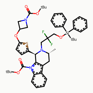 C[C@@H]1Cc2c(n(C(=O)OC(C)(C)C)c3ccccc23)[C@@H](c2ccc(OC3CN(C(=O)OC(C)(C)C)C3)s2)N1CC(F)(F)CO[Si](c1ccccc1)(c1ccccc1)C(C)(C)C